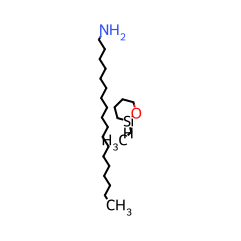 CCCCCCCCCCCCCCCCCCN.CC[SiH]1CCCCO1